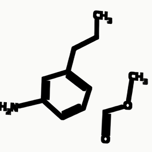 CCCc1cccc(N)c1.COC=O